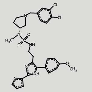 COc1ccc(-c2[nH]c(-c3cccs3)nc2CCNS(=O)(=O)N(C)[C@@H]2CCN(Cc3ccc(Cl)c(Cl)c3)C2)cc1